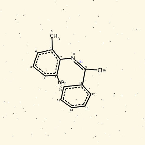 CCCc1cccc(C)c1/N=C(/Cl)c1ccccc1